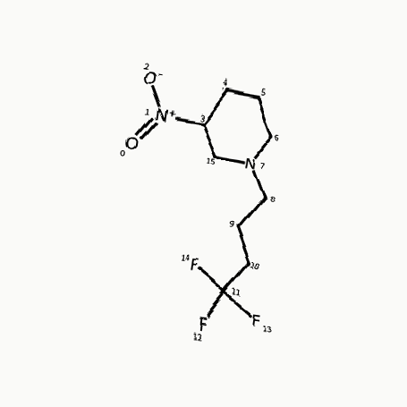 O=[N+]([O-])C1[CH]CCN(CCCC(F)(F)F)C1